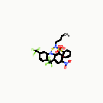 CCCCN(SN(c1cc(C(F)(F)F)ccc1Cl)c1c([N+](=O)[O-])cc([N+](=O)[O-])cc1C(F)(F)F)S(=O)(=O)c1ccccc1